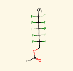 CCC(=O)OCC(F)(F)C(F)(F)C(F)(F)C(F)(F)C(F)(F)C(F)(F)F